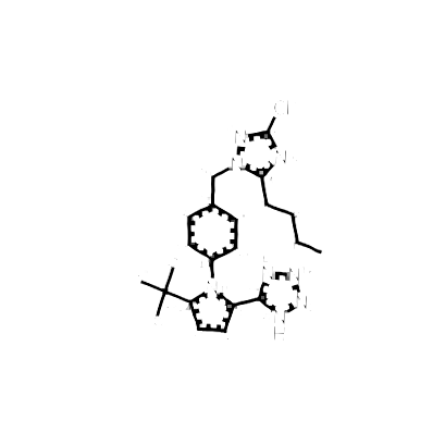 CCCCc1nc(Cl)nn1Cc1ccc(-n2c(-c3nnn[nH]3)ccc2C(C)(C)C)cc1